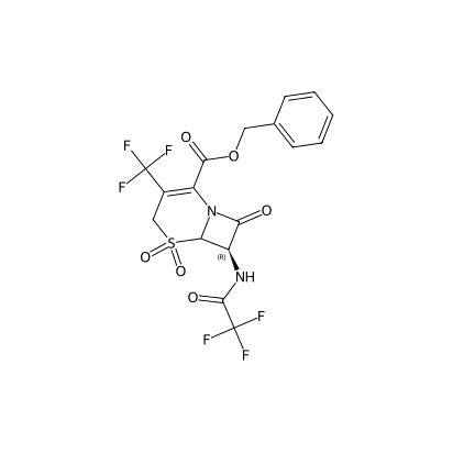 O=C(OCc1ccccc1)C1=C(C(F)(F)F)CS(=O)(=O)C2[C@H](NC(=O)C(F)(F)F)C(=O)N12